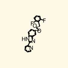 O=S(=O)(Cc1c(F)cccc1F)c1ccc2[nH]c(-c3ccccn3)nc2c1